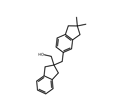 CC1(C)Cc2ccc(CC3(CO)Cc4ccccc4C3)cc2C1